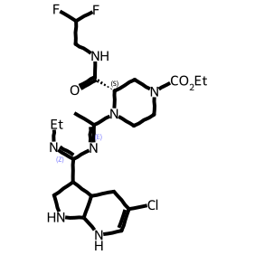 CC/N=C(\N=C(/C)N1CCN(C(=O)OCC)C[C@H]1C(=O)NCC(F)F)C1CNC2NC=C(Cl)CC21